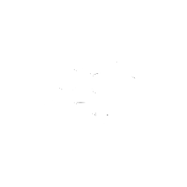 Cl.Nc1nc(NC2CC2)c2ncn([C@H]3C=C[C@@H](CO)C3)c2n1.O